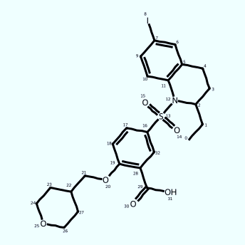 CCC1CCc2cc(I)ccc2N1S(=O)(=O)c1ccc(OCC2CCOCC2)c(C(=O)O)c1